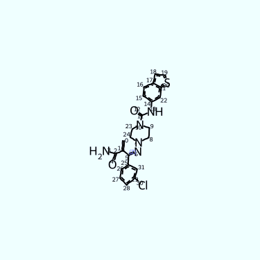 C=C(C(N)=O)/C(=N\N1CCN(C(=O)Nc2ccc3ccsc3c2)CC1)c1cccc(Cl)c1